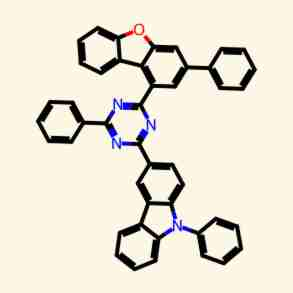 c1ccc(-c2cc(-c3nc(-c4ccccc4)nc(-c4ccc5c(c4)c4ccccc4n5-c4ccccc4)n3)c3c(c2)oc2ccccc23)cc1